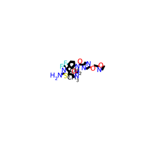 C=C1[C@@](CF)(c2cc(NC(=O)c3cnc(OCc4ncco4)cn3)ccc2F)N=C(N)S[C@]1(C)c1cnco1